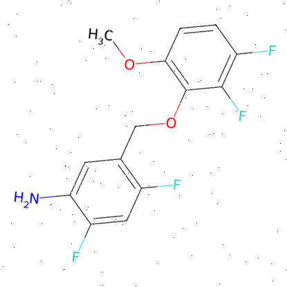 COc1ccc(F)c(F)c1OCc1cc(N)c(F)cc1F